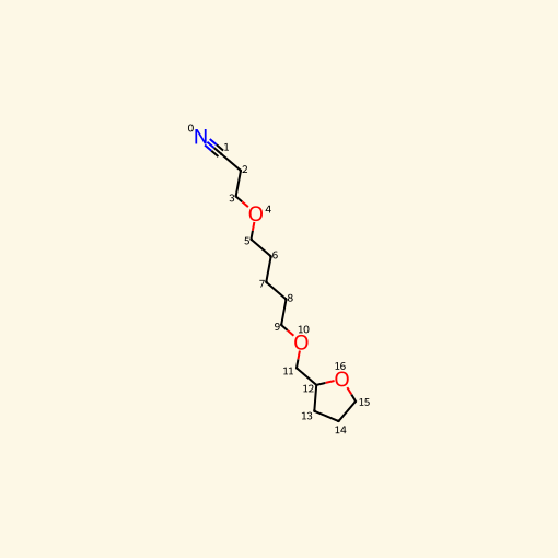 N#CCCOCCCCCOCC1CCCO1